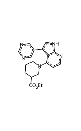 CCOC(=O)C1CCCN(c2ccnc3[nH]cc(-c4cncnc4)c23)C1